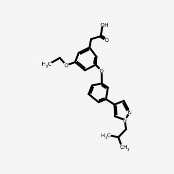 CCOc1cc(CC(=O)O)cc(Oc2cccc(-c3cnn(CC(C)C)c3)c2)c1